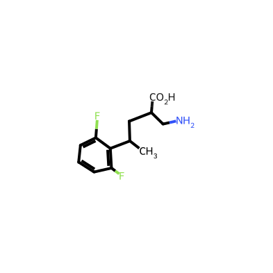 CC(CC(CN)C(=O)O)c1c(F)cccc1F